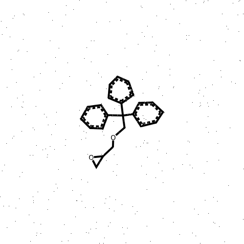 c1ccc(C(COCC2CO2)(c2ccccc2)c2ccccc2)cc1